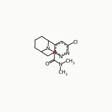 CN(C)C(=O)ON1C2CCCC1c1cc(Cl)nnc1C2